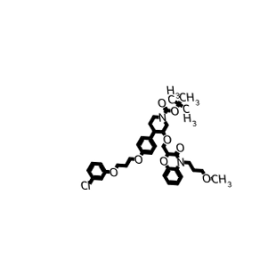 COCCCN1C(=O)C(COC2CN(C(=O)OC(C)(C)C)CCC2c2ccc(OCCCOc3cccc(Cl)c3)cc2)Oc2ccccc21